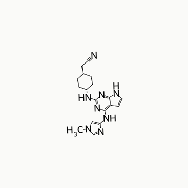 Cn1cnc(Nc2nc(N[C@H]3CC[C@H](CC#N)CC3)nc3[nH]ccc23)c1